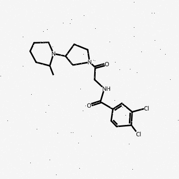 CC1CCCCN1C1CCN(C(=O)CNC(=O)c2ccc(Cl)c(Cl)c2)C1